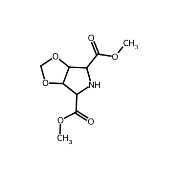 COC(=O)C1NC(C(=O)OC)C2OCOC12